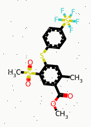 COC(=O)c1cc(S(C)(=O)=O)c(Sc2ccc(S(F)(F)(F)(F)F)cc2)cc1C